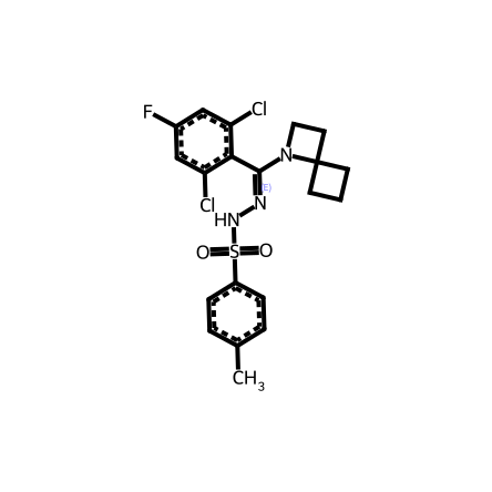 Cc1ccc(S(=O)(=O)N/N=C(\c2c(Cl)cc(F)cc2Cl)N2CCC23CCC3)cc1